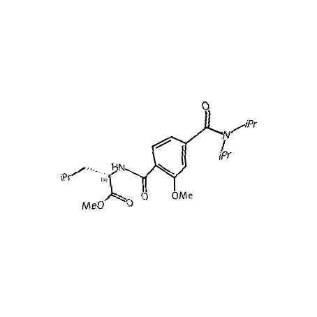 COC(=O)[C@H](CC(C)C)NC(=O)c1ccc(C(=O)N(C(C)C)C(C)C)cc1OC